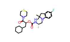 C[C@@H](CN1c2ccc(F)cc2CC1(C)C)NC(=O)OC(CC1CCCCC1)C(=O)N1CCSCC1